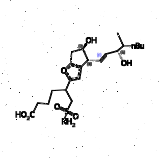 CCCCC(C)[C@H](O)/C=C/[C@@H]1c2cc(C(CCCC(=O)O)CS(N)(=O)=O)oc2C[C@H]1O